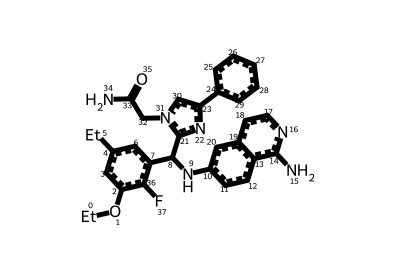 CCOc1cc(CC)cc(C(Nc2ccc3c(N)nccc3c2)c2nc(-c3ccccc3)cn2CC(N)=O)c1F